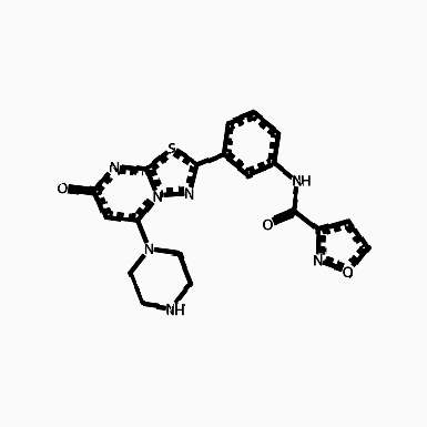 O=C(Nc1cccc(-c2nn3c(N4CCNCC4)cc(=O)nc3s2)c1)c1ccon1